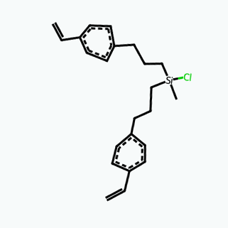 C=Cc1ccc(CCC[Si](C)(Cl)CCCc2ccc(C=C)cc2)cc1